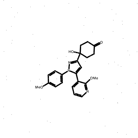 COc1ccc(-n2nc(C3(O)CCC(=O)CC3)cc2-c2cccnc2OC)cc1